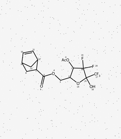 CC(=O)OC1C(COC(=O)C2CC3C=CC2C3)OC(O)(C(F)(F)F)C1(F)F